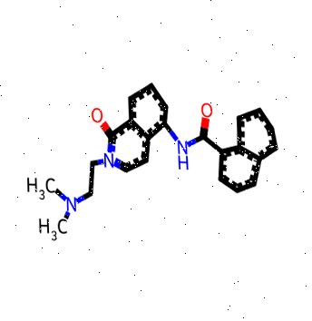 CN(C)CCn1ccc2c(NC(=O)c3cccc4ccccc34)cccc2c1=O